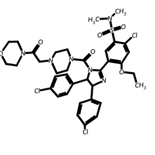 CCOc1cc(Cl)c(S(=O)(=O)N(C)C)cc1C1=NC(c2ccc(Cl)cc2)C(c2ccc(Cl)cc2)N1C(=O)N1CCN(CC(=O)N2CCOCC2)CC1